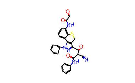 N#CC(C(=O)Nc1ccccc1)C(=O)c1nn(-c2ccccc2)c2c1CSc1c(NC(=O)C=O)cccc1-2